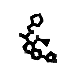 O=C(NCC1CCSCC1)c1cnc2ccc(-c3cn[nH]c3)cc2c1NC1CC1